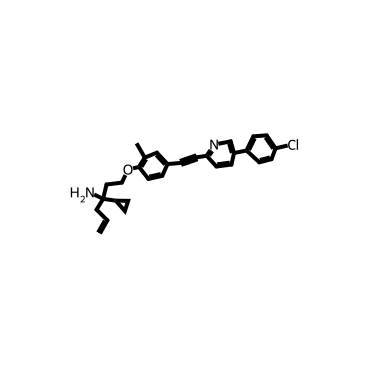 C=CCC(N)(CCOc1ccc(C#Cc2ccc(-c3ccc(Cl)cc3)cn2)cc1C)C1CC1